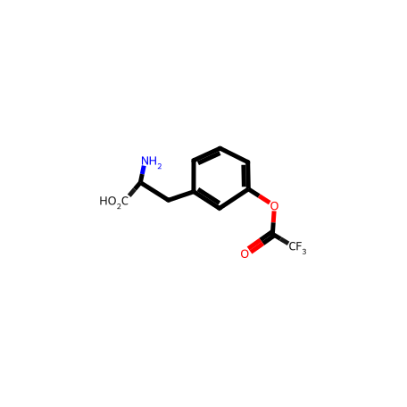 NC(Cc1cccc(OC(=O)C(F)(F)F)c1)C(=O)O